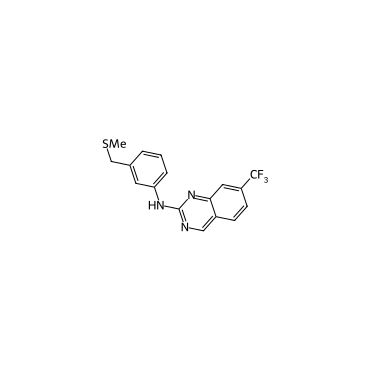 CSCc1cccc(Nc2ncc3ccc(C(F)(F)F)cc3n2)c1